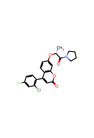 C[C@@H](Oc1ccc2c(-c3ccc(F)cc3Cl)cc(=O)oc2c1)C(=O)N1CCCC1